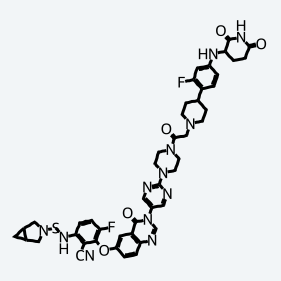 N#Cc1c(NSN2CC3CC3C2)ccc(F)c1Oc1ccc2ncn(-c3cnc(N4CCN(C(=O)CN5CCC(c6ccc(NC7CCC(=O)NC7=O)cc6F)CC5)CC4)nc3)c(=O)c2c1